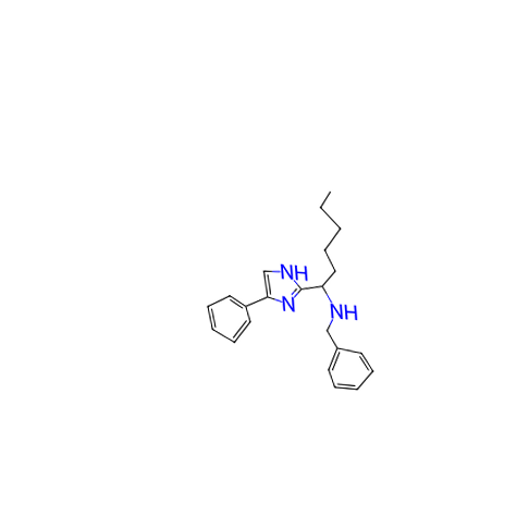 CCCCCC(NCc1ccccc1)c1nc(-c2ccccc2)c[nH]1